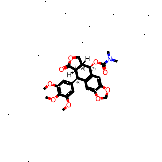 COc1cc([C@@H]2c3cc4c(cc3[C@H](OC(=O)N(C)C)[C@H]3COC(=O)[C@@H]23)OCO4)cc(OC)c1OC